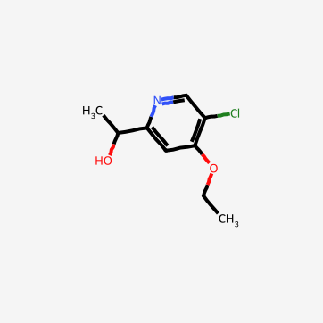 CCOc1cc(C(C)O)ncc1Cl